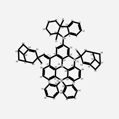 CC1(/C=C2/c3cc(N4c5ccccc5C5(C)CCCCC45C)cc4c3B3c5c2cccc5[Si](c2ccccc2)(c2ccccc2)c2cccc(c23)N4C2(C)C=C3CC4CC(C2)C34)C=C2CC3CC(C1)C23